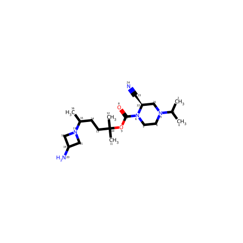 CC(C)N1CCN(C(=O)OC(C)(C)CCC(C)N2CC(N)C2)[C@@H](C#N)C1